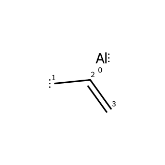 [Al].[C]C=C